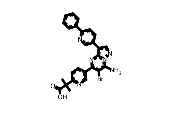 CC(C)(C(=O)O)c1ccc(-c2nc3c(-c4ccc(-c5ccccc5)nc4)cnn3c(N)c2Br)cn1